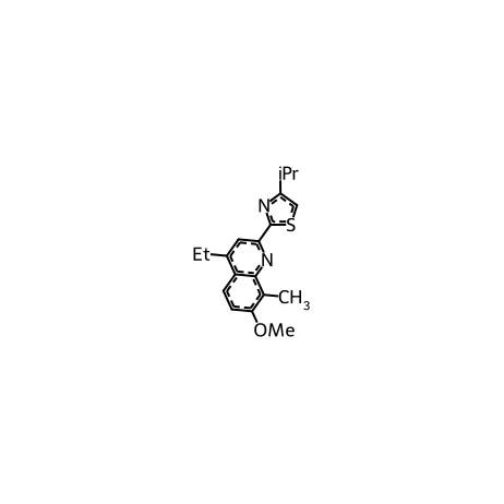 CCc1cc(-c2nc(C(C)C)cs2)nc2c(C)c(OC)ccc12